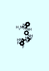 Nc1nc(N[C@H]2CCC[C@@H](Nc3nc(-c4c[nH]c5c(F)cc(F)cc45)ncc3F)C2)c2ccccc2n1